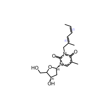 C/C=C\C=C(/C)Cn1c(=O)c(C)cn([C@H]2C[C@@H](O)C(CO)O2)c1=O